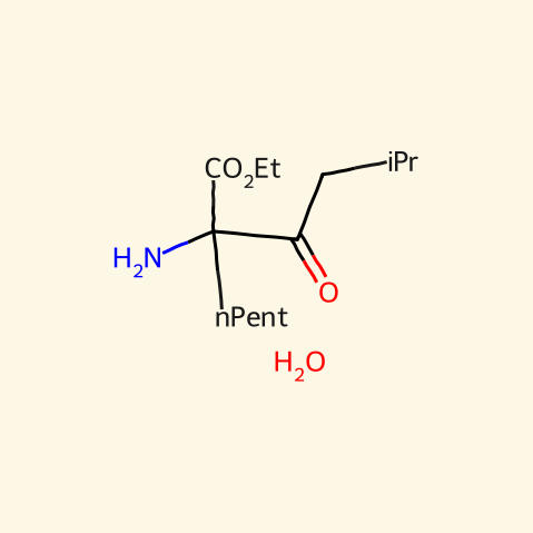 CCCCCC(N)(C(=O)CC(C)C)C(=O)OCC.O